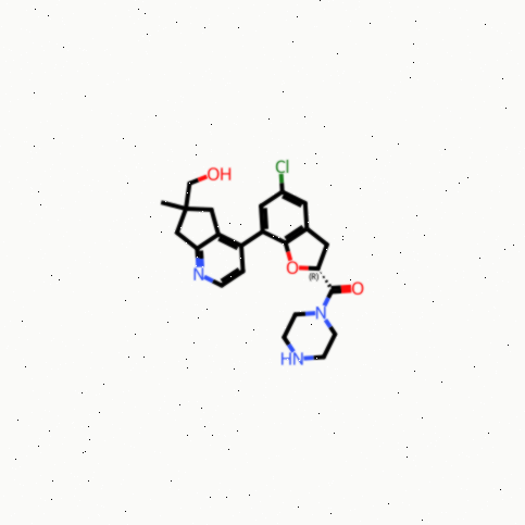 CC1(CO)Cc2nccc(-c3cc(Cl)cc4c3O[C@@H](C(=O)N3CCNCC3)C4)c2C1